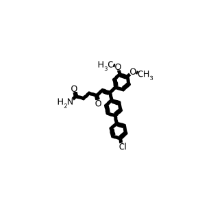 COc1ccc(C(=CC(=O)CCC(N)=O)c2ccc(-c3ccc(Cl)cc3)cc2)cc1OC